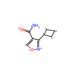 NC(=O)c1[c]onc1C1CCC1